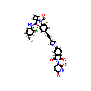 O=C1CCC(N2C(=O)c3ccc(N4CC(C#Cc5ccc6c(c5)sc(=O)n6C5(C(=O)Nc6ccc(C(F)(F)F)cc6Cl)CCC5)C4)cc3C2=O)C(=O)N1